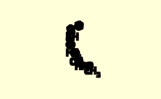 CC(=O)NC[C@H]1CN(c2ccc(-c3ccc(CNCc4ccc(-c5ccccc5)s4)cc3)c(F)c2)C(=O)O1